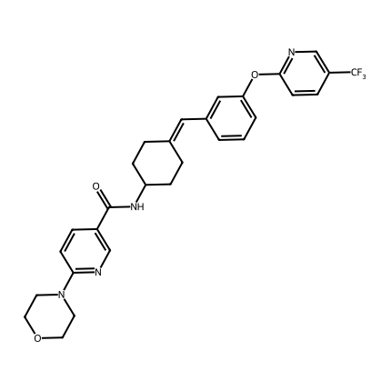 O=C(NC1CCC(=Cc2cccc(Oc3ccc(C(F)(F)F)cn3)c2)CC1)c1ccc(N2CCOCC2)nc1